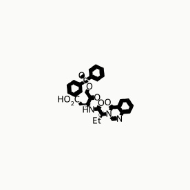 CC[C@@H](C(=O)N[C@@H](CC(=O)O)C(=O)COP(=O)(c1ccccc1)c1ccccc1)n1cnc2ccccc2c1=O